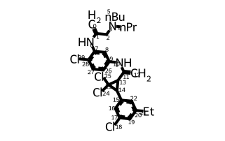 C=C(CN(CCC)CCCC)Nc1cc(NC(=C)C2C(c3cc(Cl)cc(CC)c3)C2(Cl)Cl)ccc1Cl